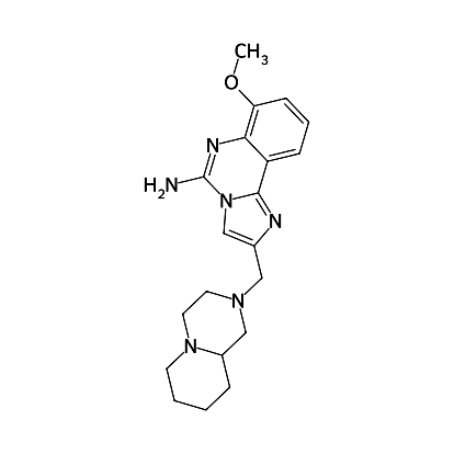 COc1cccc2c1nc(N)n1cc(CN3CCN4CCCCC4C3)nc21